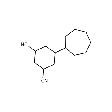 N#CC1CC(C#N)CC(C2CCCCCC2)C1